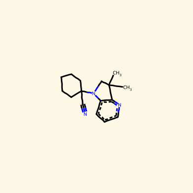 CC1(C)CN(C2(C#N)CCCCC2)c2cccnc21